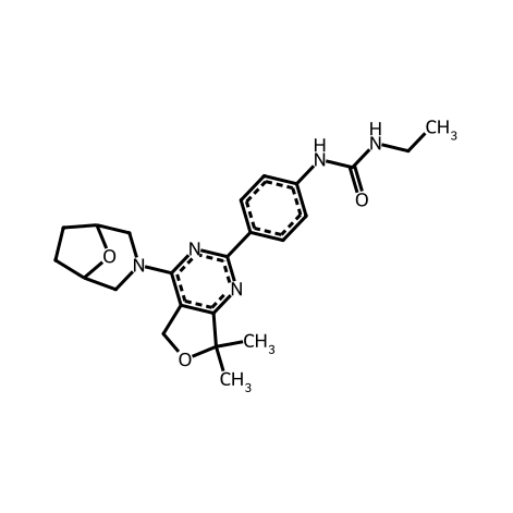 CCNC(=O)Nc1ccc(-c2nc(N3CC4CCC(C3)O4)c3c(n2)C(C)(C)OC3)cc1